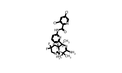 CC1(C)C(N)=N[C@](C)(c2nc(NC(=O)c3ncc(Cl)cc3Cl)ccc2F)[C@H]2CC(F)(F)CN=[S@@]21=O